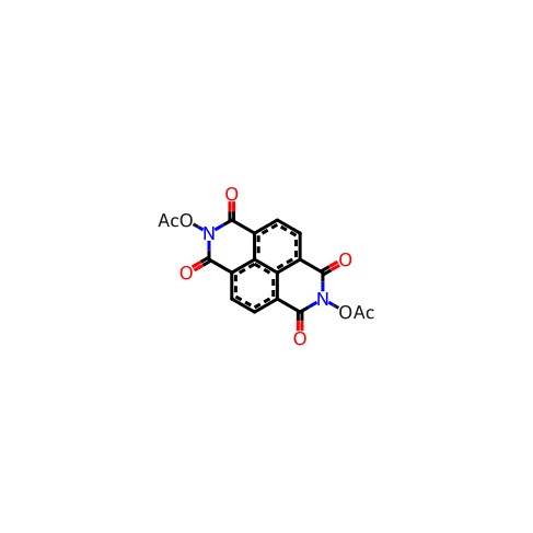 CC(=O)ON1C(=O)c2ccc3c4c(ccc(c24)C1=O)C(=O)N(OC(C)=O)C3=O